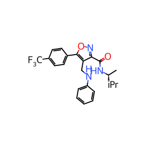 CC(C)[C@H](C)NC(=O)c1noc(-c2ccc(C(F)(F)F)cc2)c1CNc1ccccc1